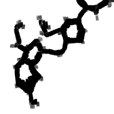 COC(=O)c1ccc(Cn2nc(OC)c3ccc(N)cc32)c(OC)c1